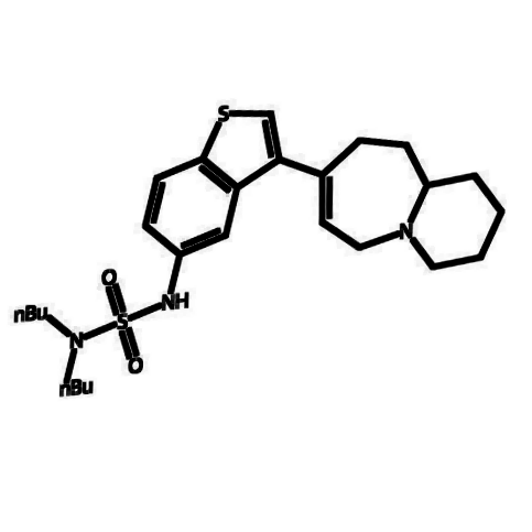 CCCCN(CCCC)S(=O)(=O)Nc1ccc2scc(C3=CCN4CCCCC4CC3)c2c1